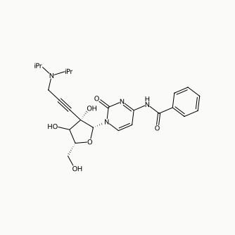 CC(C)N(CC#C[C@]1(O)C(O)[C@@H](CO)O[C@H]1n1ccc(NC(=O)c2ccccc2)nc1=O)C(C)C